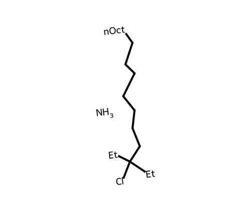 CCCCCCCCCCCCCCCC(Cl)(CC)CC.N